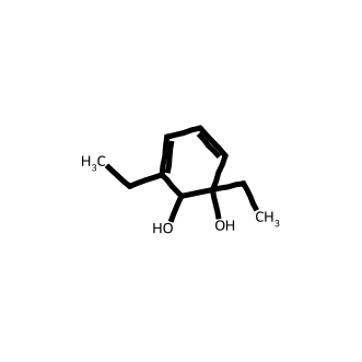 CCC1=CC=CC(O)(CC)C1O